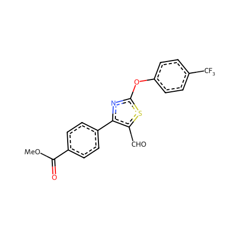 COC(=O)c1ccc(-c2nc(Oc3ccc(C(F)(F)F)cc3)sc2C=O)cc1